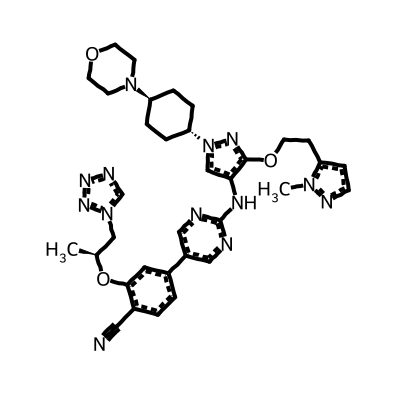 C[C@@H](Cn1cnnn1)Oc1cc(-c2cnc(Nc3cn([C@H]4CC[C@H](N5CCOCC5)CC4)nc3OCCc3ccnn3C)nc2)ccc1C#N